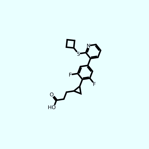 O=C(O)CCC1CC1c1c(F)cc(-c2cccnc2SC2CCC2)cc1F